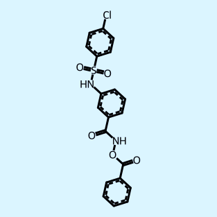 O=C(NOC(=O)c1ccccc1)c1cccc(NS(=O)(=O)c2ccc(Cl)cc2)c1